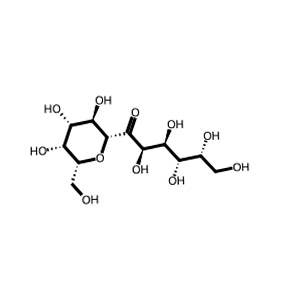 O=C([C@H](O)[C@@H](O)[C@@H](O)[C@H](O)CO)[C@@H]1O[C@H](CO)[C@H](O)[C@H](O)[C@H]1O